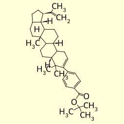 C=C(C)[C@@H]1CCC2CC[C@@]3(C)C4CC[C@@H]5C(CC=C(c6ccc(C(=O)OC(C)(C)C)cc6)C5(C)C)[C@H]4CC[C@@H]3[C@H]21